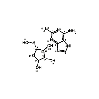 Nc1nc(N)c2[nH]cnc2n1.OC[C@H]1OC(O)[C@@H](O)[C@@H]1O